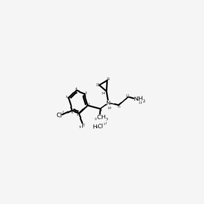 CC(c1cccc(Cl)c1F)N(CCN)C1CC1.Cl